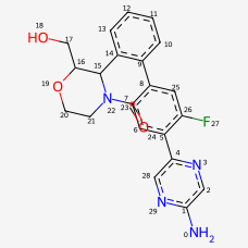 Nc1cnc(-c2ccc(-c3ccccc3C3C(CO)OCCN3C=O)cc2F)cn1